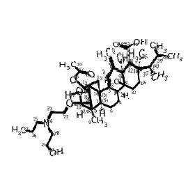 C=C1C=C2[C@H](CC[C@H]3[C@]4(C)COC5(C[C@@]235)[C@@H](OC(C)=O)[C@@H]4OCCN(CCC)CCO)C2(C)CC[C@](C)([C@H](C)C(C)C)[C@@H](C(=O)O)[C@]12C